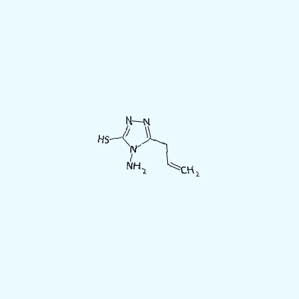 C=CCc1nnc(S)n1N